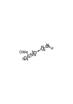 COC[C@H]1CN(c2ncc(C#Cc3cnc(-c4cnn(CCF)c4)nc3)cn2)CCN1c1ccncn1